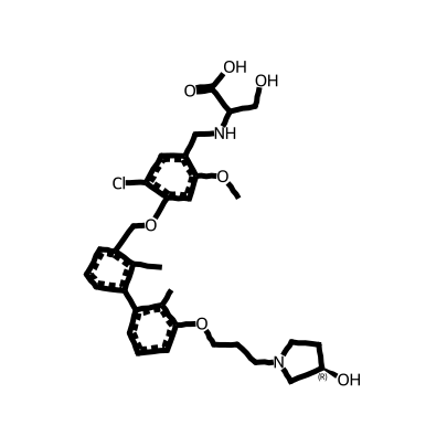 COc1cc(OCc2cccc(-c3cccc(OCCCN4CC[C@@H](O)C4)c3C)c2C)c(Cl)cc1CNC(CO)C(=O)O